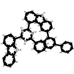 c1ccc(-c2cccc(-c3ccc4sc5cccc(-c6nc(-c7ccccc7)nc(-c7cccc8c7oc7ccccc78)n6)c5c4c3)c2)cc1